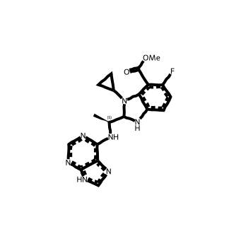 COC(=O)c1c(F)ccc2c1N(C1CC1)C([C@H](C)Nc1ncnc3[nH]cnc13)N2